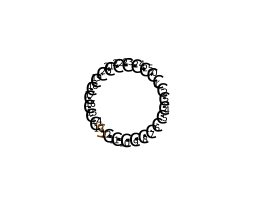 C1CCCCCCCCCCCCSCCCCCCCCCCCC1